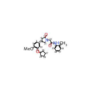 COc1ccc([C@@H]2CC(=O)N(CC(=O)Nc3ccccc3C)C2)cc1OC1CCCC1